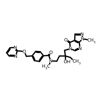 CCC(O)(CCN(C)C(=O)c1ccc(COc2ncccn2)cc1)Cn1cnc2c(cnn2C)c1=O